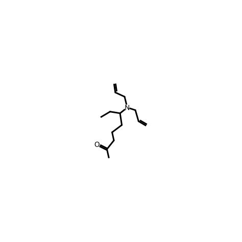 C=CCN(CC=C)C(CC)CCCC(C)=O